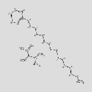 CC(C)C(O)[N+](=O)[O-].CCCCCCCCCCCCCCCCc1ccccn1